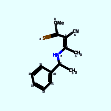 COC(=S)C(C#N)=C(C)NC(C)c1ccccc1